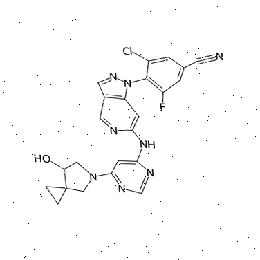 N#Cc1cc(F)c(-n2ncc3cnc(Nc4cc(N5CC(O)C6(CC6)C5)ncn4)cc32)c(Cl)c1